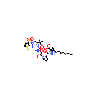 CCCCCCCCC1C[C@]1(NC(=O)[C@@H]1CCCN1C(=O)CNC(=O)NC(CN1Cc2sccc2S1(=O)=O)C(C)(C)C)C(=O)O